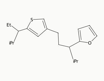 CCC(c1cc(CCC(c2ccco2)C(C)C)cs1)C(C)C